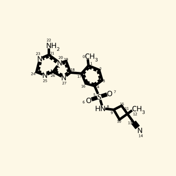 Cc1ccc(S(=O)(=O)NC2CC(C)(C#N)C2)cc1-c1cn2c(N)ncnc2n1